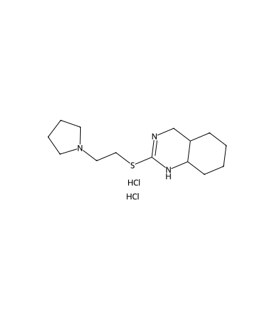 C1CCC2NC(SCCN3CCCC3)=NCC2C1.Cl.Cl